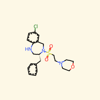 O=S(=O)(CCN1CCOCC1)N1Cc2cc(Cl)ccc2NC[C@H]1Cc1ccccc1